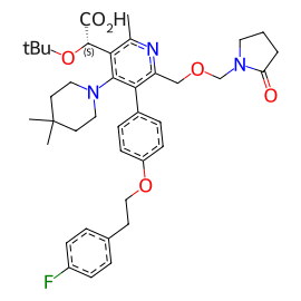 Cc1nc(COCN2CCCC2=O)c(-c2ccc(OCCc3ccc(F)cc3)cc2)c(N2CCC(C)(C)CC2)c1[C@H](OC(C)(C)C)C(=O)O